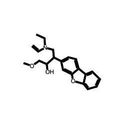 C=CN(CC)CC(c1ccc2c(c1)oc1ccccc12)C(O)COC